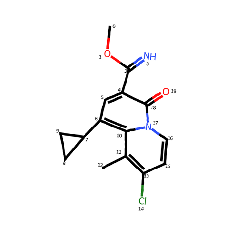 COC(=N)c1cc(C2CC2)c2c(C)c(Cl)ccn2c1=O